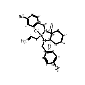 C=CC[Si]1(Cl)N(Cc2ccc(Br)cc2)[C@@H]2CCCC[C@H]2N1Cc1ccc(Br)cc1